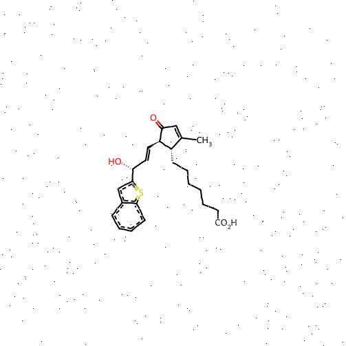 CC1=CC(=O)[C@H](C=C[C@@H](O)c2cc3ccccc3s2)[C@H]1CCCCCCC(=O)O